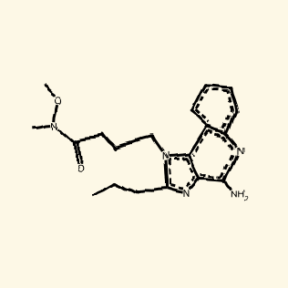 CCCc1nc2c(N)nc3ccccc3c2n1CCCC(=O)N(C)OC